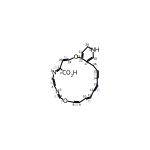 O=C(O)C1=N\C=C/N=C/O\C=C/C=C/C=C/C=C/CC2=CNCC=C2O\C=C\1